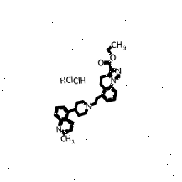 CCOC(=O)c1ncn2c1CCc1c(CCN3CCC(c4cccc5nc(C)ccc45)CC3)cccc1-2.Cl.Cl